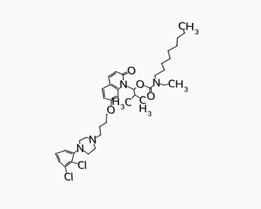 CCCCCCCCCN(CC)C(=O)OC(C(C)C)n1c(=O)ccc2ccc(OCCCCN3CCN(c4cccc(Cl)c4Cl)CC3)cc21